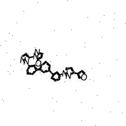 c1cc(-c2ccc3oc4c(-n5nccc5-n5cccn5)cccc4c3c2)cc(-n2ccc(-c3ccoc3)n2)c1